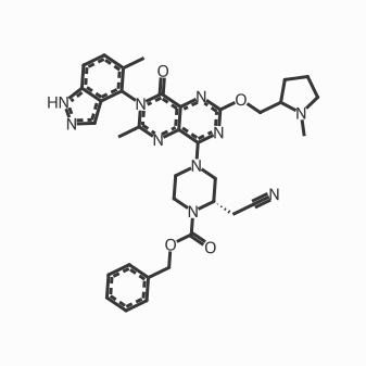 Cc1ccc2[nH]ncc2c1-n1c(C)nc2c(N3CCN(C(=O)OCc4ccccc4)[C@@H](CC#N)C3)nc(OCC3CCCN3C)nc2c1=O